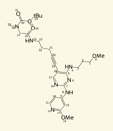 COCCCNc1nc(Nc2ccnc(OC)c2)ncc1C#CCCCNC(=O)CN(C)C(=O)OC(C)(C)C